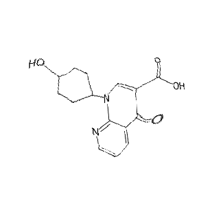 O=C(O)c1cn(C2CCC(O)CC2)c2ncccc2c1=O